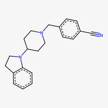 N#Cc1ccc(CN2CCC(N3CCc4ccccc43)CC2)cc1